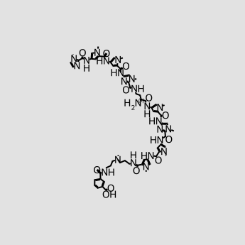 CN(CCCNC(=O)c1cccc(C(=O)O)c1)CCCNC(=O)c1cc(NC(=O)c2cc(NC(=O)c3nc(NC(=O)c4cc(NC(=O)[C@H](N)CCNC(=O)c5nc(NC(=O)c6cc(NC(=O)c7cc(NC(=O)c8nccn8C)cn7C)cn6C)cn5C)cn4C)cn3C)cn2C)cn1C